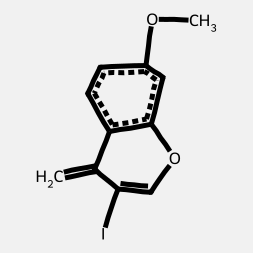 C=C1C(I)=COc2cc(OC)ccc21